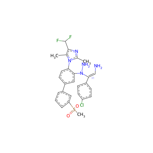 Cc1nc(C(F)F)c(C)n1-c1ccc(-c2cccc(S(C)(=O)=O)c2)cc1N(N)/C(=C\N)c1ccc(Cl)cc1